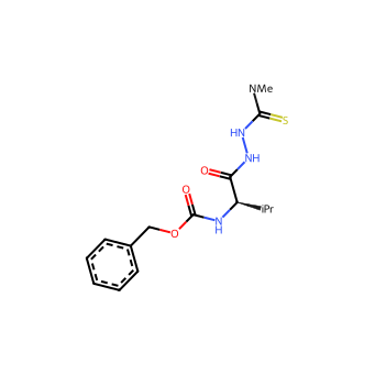 CNC(=S)NNC(=O)[C@H](NC(=O)OCc1ccccc1)C(C)C